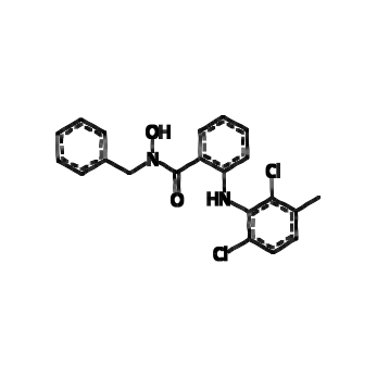 Cc1ccc(Cl)c(Nc2ccccc2C(=O)N(O)Cc2ccccc2)c1Cl